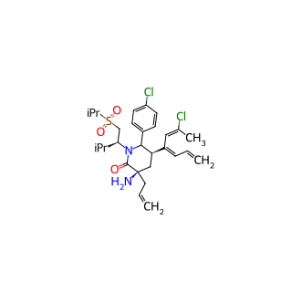 C=C/C=C(\C=C(/C)Cl)[C@H]1C[C@](N)(CC=C)C(=O)N([C@H](CS(=O)(=O)C(C)C)C(C)C)C1c1ccc(Cl)cc1